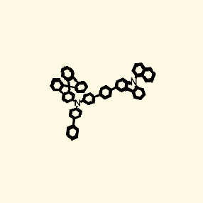 c1ccc(-c2ccc(N(c3ccc(-c4ccc(-c5ccc6c(c5)c5ccccc5n6-c5cccc6ccccc56)cc4)cc3)c3ccc4c(c3)C3(c5ccccc5-c5ccccc53)c3ccccc3-4)cc2)cc1